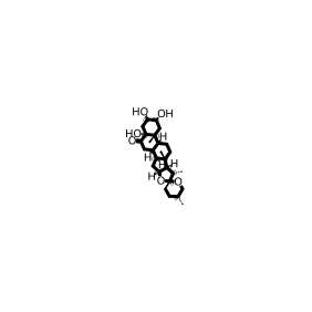 C[C@@H]1CC[C@@]2(OC1)O[C@H]1C[C@H]3[C@@H]4CC(=O)[C@@]5(O)C[C@@H](O)[C@H](O)C[C@]5(C)[C@H]4CC[C@]3(C)[C@H]1[C@@H]2C